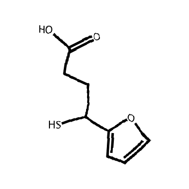 O=C(O)CCC(S)c1ccco1